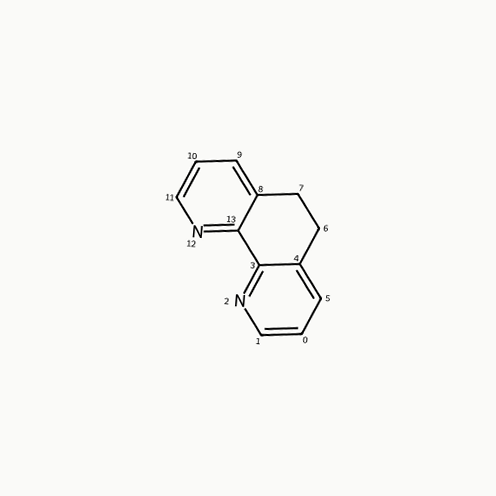 c1cnc2c(c1)CCc1cccnc1-2